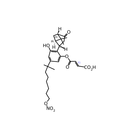 CC(C)(CCCCCCO[N+](=O)[O-])c1cc(O)c([C@H]2CC(=O)[C@H]3C[C@H]2C3(C)C)c(OC(=O)/C=C/C(=O)O)c1